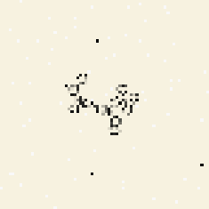 c1ccc(-c2cccc(-n3c4ccccc4c4cc(-c5ccc6c(c5)c5cc7c(cc5n6-c5ccc6ccccc6c5)C(c5ccccc5)(c5ccccc5)c5ccccc5-7)ccc43)c2)cc1